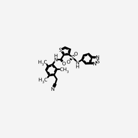 Cc1cc(C)c(NC(=O)c2sccc2S(=O)(=O)Nc2ccc3nsnc3c2)c(C)c1CC#N